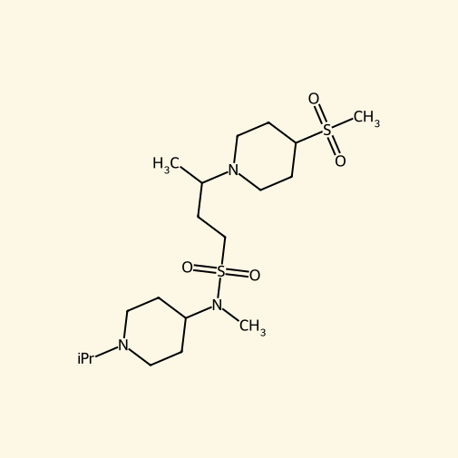 CC(C)N1CCC(N(C)S(=O)(=O)CCC(C)N2CCC(S(C)(=O)=O)CC2)CC1